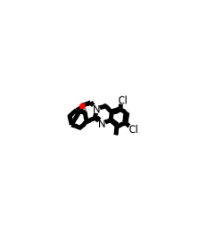 Cc1c(Cl)cc(Cl)c2c1N=C1C3CC4CC(C3)CC(C4)N1C2